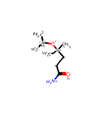 C[SiH](C)O[Si](C)(C)CCC(N)=O